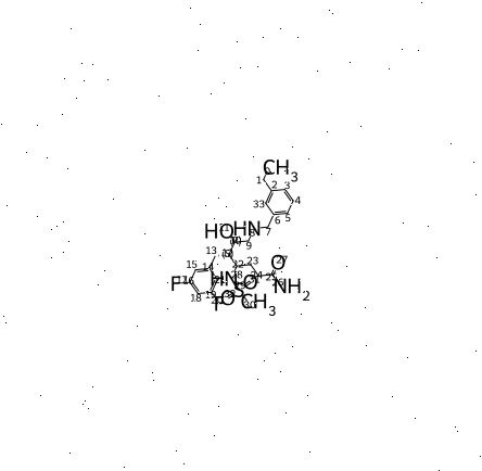 CCc1cccc(CNC[C@H](O)[C@@H](Cc2cc(F)cc(F)c2)C(CCC(N)=O)NS(C)(=O)=O)c1